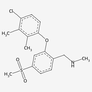 CNCc1ccc(S(C)(=O)=O)cc1Oc1ccc(Cl)c(C)c1C